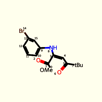 COC(=O)C(=CC(=O)C(C)(C)C)Nc1cccc(Br)c1